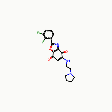 O=C1C(NCCN2CCCC2)=CC(=O)c2oc(-c3cccc(F)c3F)nc21